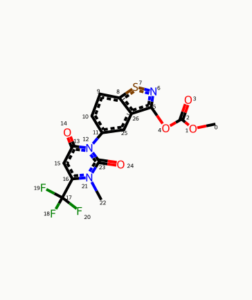 COC(=O)Oc1nsc2ccc(-n3c(=O)cc(C(F)(F)F)n(C)c3=O)cc12